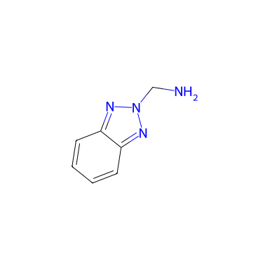 NCn1nc2ccccc2n1